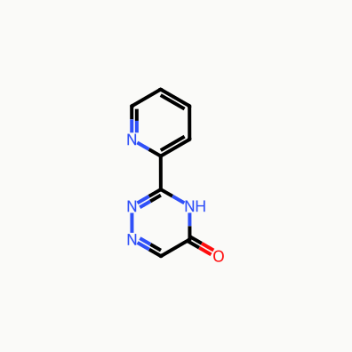 O=c1cnnc(-c2ccccn2)[nH]1